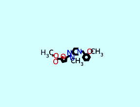 CCOC(=O)c1ccc(-c2nc3c(n2C)CN(Cc2ccccc2OC)CC3)o1